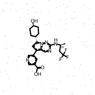 C[C@@H](CC(F)(F)F)Nc1ncc2c(-c3cncc(C(=O)O)c3)cc([C@H]3CC[C@H](O)CC3)n2n1